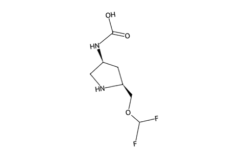 O=C(O)N[C@@H]1CN[C@H](COC(F)F)C1